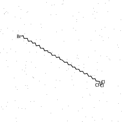 Cl[Si](Cl)(Cl)CCCCCCCCCCCCCCCCCCCCCCCCCCCCCCCCCCCCCCCBr